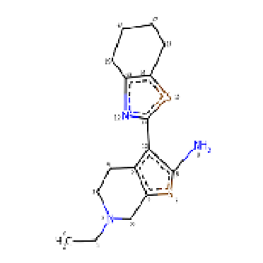 CCN1CCc2c(sc(N)c2-c2nc3c(s2)CCCC3)C1